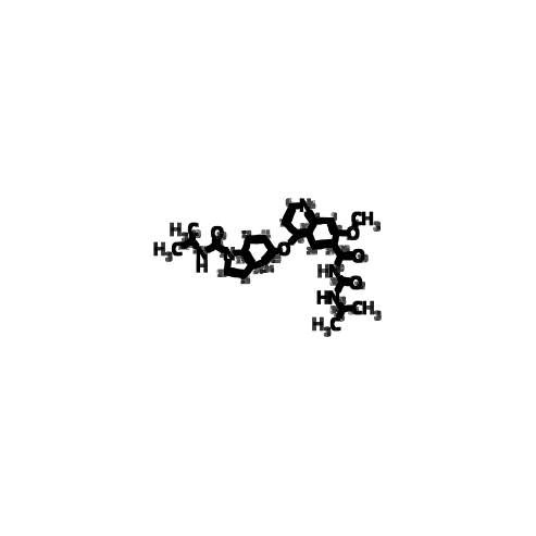 COc1cc2nccc(Oc3ccc4c(ccn4C(=O)NC(C)C)c3)c2cc1C(=O)NC(=O)NC(C)C